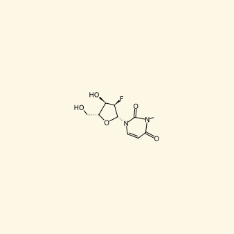 Cn1c(=O)ccn([C@@H]2O[C@H](CO)[C@@H](O)[C@H]2F)c1=O